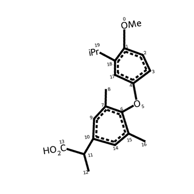 COc1ccc(Oc2c(C)cc(C(C)C(=O)O)cc2C)cc1C(C)C